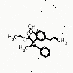 C=CCc1ccc(OC)c(C2(C(=O)OCC)C(C)=C2c2ccccc2)c1